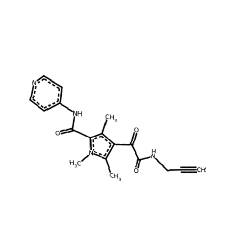 C#CCNC(=O)C(=O)c1c(C)c(C(=O)Nc2ccncc2)n(C)c1C